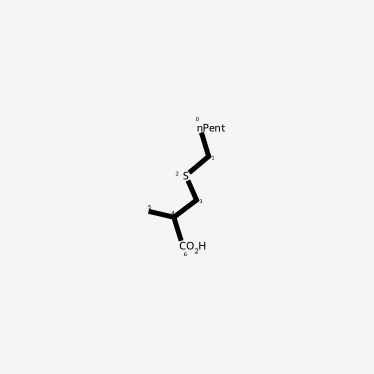 CCCCCCSCC(C)C(=O)O